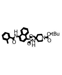 Cc1ccccc1C(=O)Nc1ccc(S(=O)(=O)NC2(C)CCN(C(=O)OC(C)(C)C)CC2)c2ccccc12